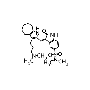 CN(C)CCCc1c(/C=C2\C(=O)Nc3ccc(S(=O)(=O)N(C)C)cc32)[nH]c2c1CCCCC2